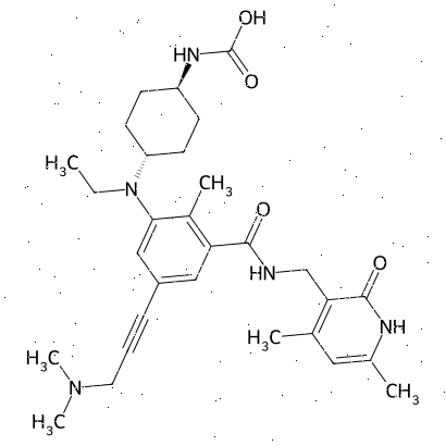 CCN(c1cc(C#CCN(C)C)cc(C(=O)NCc2c(C)cc(C)[nH]c2=O)c1C)[C@H]1CC[C@H](NC(=O)O)CC1